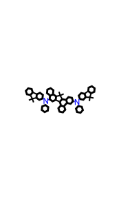 CC1(C)c2ccccc2-c2ccc(N(c3ccccc3)c3ccc4c5c(c6ccccc6c4c3)-c3cc(N(c4ccccc4)c4ccc6c(c4)C(C)(C)c4ccccc4-6)c4ccccc4c3C5(C)C)cc21